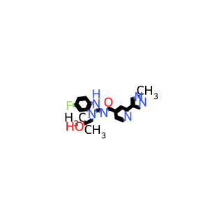 Cn1cc(-c2cc(C(=O)/N=c3\[nH]c4ccc(F)cc4n3CC(C)(C)O)ccn2)cn1